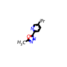 Cc1nnc(-c2ccc(C(C)C)cn2)o1